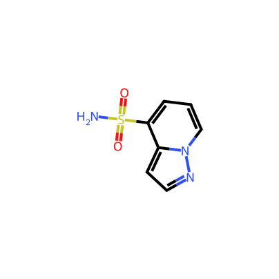 NS(=O)(=O)c1cccn2nccc12